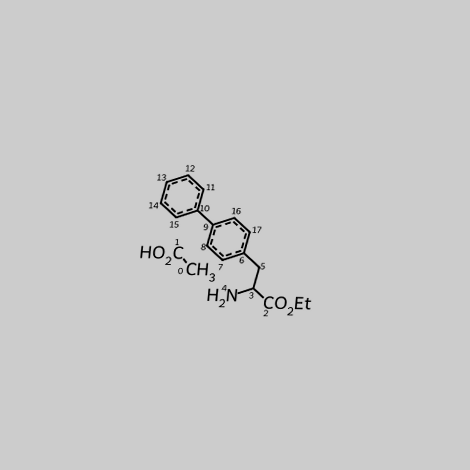 CC(=O)O.CCOC(=O)C(N)Cc1ccc(-c2ccccc2)cc1